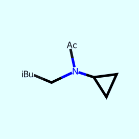 CCC(C)CN(C(C)=O)C1CC1